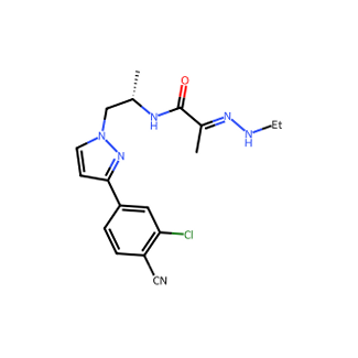 CCN/N=C(\C)C(=O)N[C@@H](C)Cn1ccc(-c2ccc(C#N)c(Cl)c2)n1